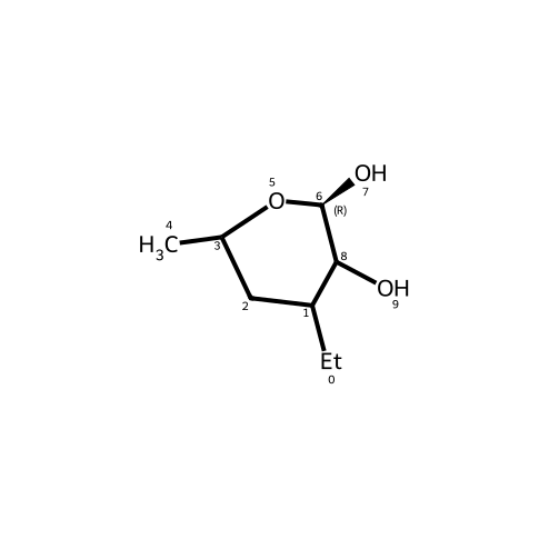 CCC1CC(C)O[C@@H](O)C1O